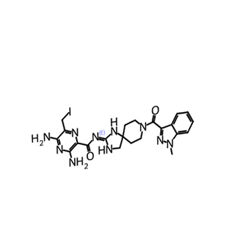 Cn1nc(C(=O)N2CCC3(CC2)CN/C(=N\C(=O)c2nc(CI)c(N)nc2N)N3)c2ccccc21